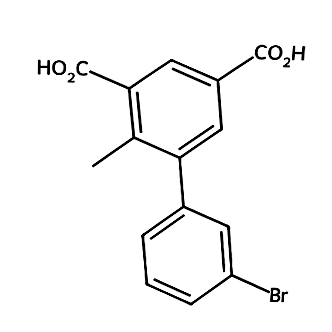 Cc1c(C(=O)O)cc(C(=O)O)cc1-c1cccc(Br)c1